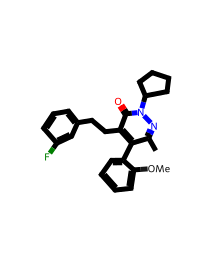 COc1ccccc1-c1c(C)nn(C2CCCC2)c(=O)c1CCc1cccc(F)c1